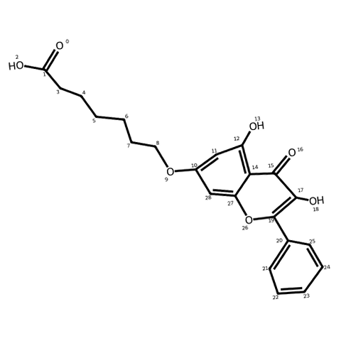 O=C(O)CCCCCCOc1cc(O)c2c(=O)c(O)c(-c3ccccc3)oc2c1